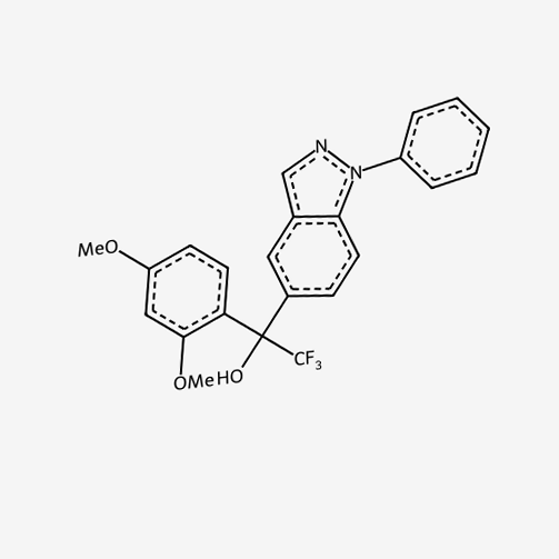 COc1ccc(C(O)(c2ccc3c(cnn3-c3ccccc3)c2)C(F)(F)F)c(OC)c1